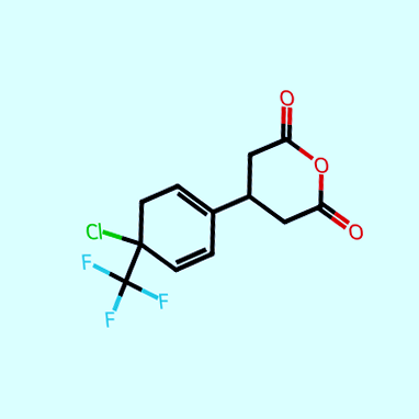 O=C1CC(C2=CCC(Cl)(C(F)(F)F)C=C2)CC(=O)O1